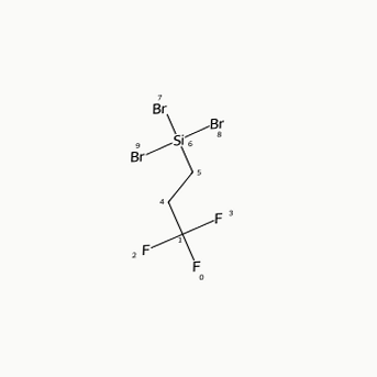 FC(F)(F)CC[Si](Br)(Br)Br